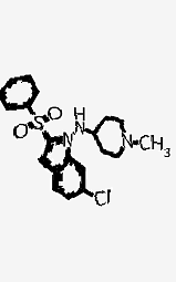 CN1CCC(Nn2c(S(=O)(=O)c3ccccc3)cc3ccc(Cl)cc32)CC1